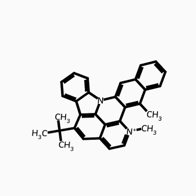 Cc1c2ccccc2cc2c1c1c3c(cc[n+]1C)cc(C(C)(C)C)c1c4ccccc4n2c13